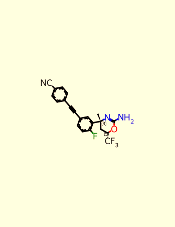 C[C@]1(c2cc(C#Cc3ccc(C#N)cc3)ccc2F)C[C@@H](C(F)(F)F)OC(N)=N1